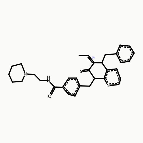 C/C=C1\C(=S)C(Cc2ccc(C(=O)NCCN3CCCCC3)cc2)c2ncccc2C1Cc1ccccc1